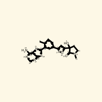 Cc1ccc(-c2cc(C3(O)CCN(C)C3=O)on2)cc1-c1nc2c(N)ncnc2s1